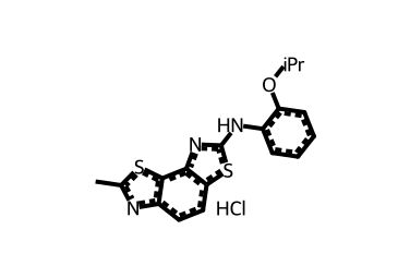 Cc1nc2ccc3sc(Nc4ccccc4OC(C)C)nc3c2s1.Cl